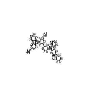 N#Cc1cc(-c2cccc(-n3c4cc5oc6ccccc6c5cc4c4cccnc43)c2)cc(-n2c3ccccc3c3cc(C#N)ccc32)c1